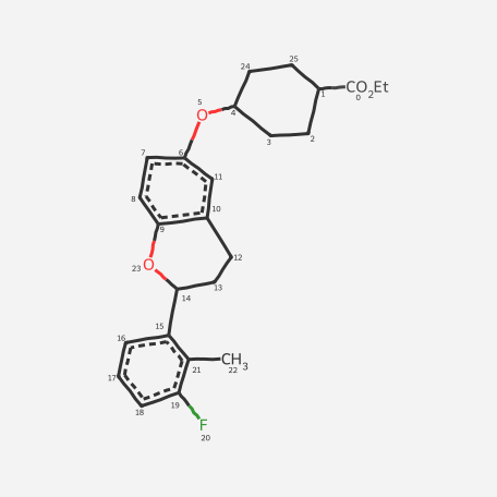 CCOC(=O)C1CCC(Oc2ccc3c(c2)CCC(c2cccc(F)c2C)O3)CC1